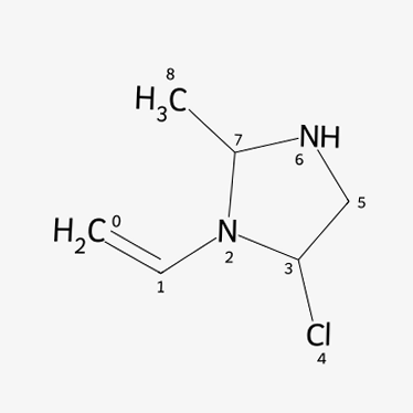 C=CN1C(Cl)CNC1C